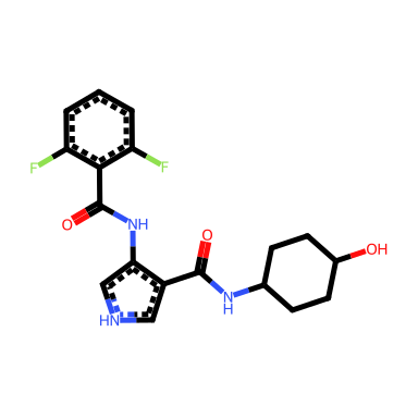 O=C(NC1CCC(O)CC1)c1c[nH]cc1NC(=O)c1c(F)cccc1F